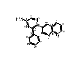 Nc1cnc(-c2cnc3ncccc3c2)c(-c2ccccc2)n1